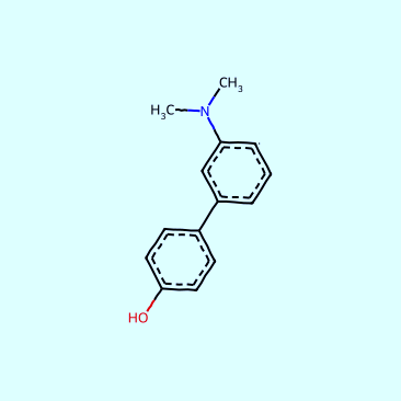 CN(C)c1[c]ccc(-c2ccc(O)cc2)c1